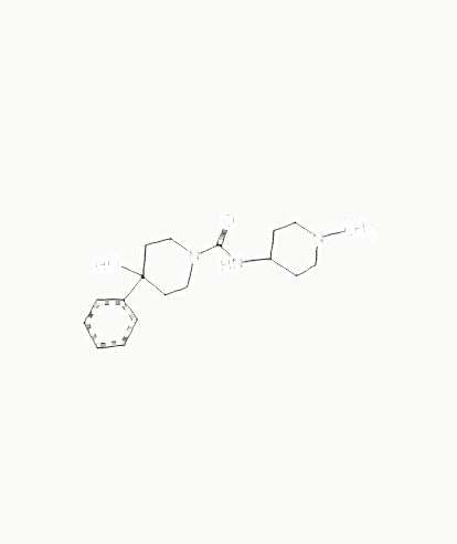 CN1CCC(NC(=O)N2CCC(O)(c3ccccc3)CC2)CC1